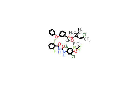 CC1(C)[C@H](C(=O)OC(C#N)c2cccc(Oc3ccccc3)c2)[C@@H]1/C=C(\Cl)C(F)(F)F.O=C(NC(=O)c1c(F)cccc1F)Nc1cc(Cl)c(OC(F)(F)C(F)C(F)(F)F)cc1Cl